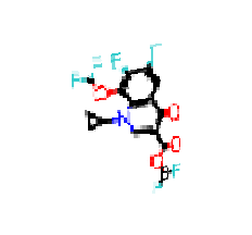 O=C(OB(F)F)c1cn(C2CC2)c2c(OC(F)F)c(F)c(F)cc2c1=O